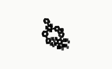 Bc1c(B)c(B)c(-c2ccc3oc4ccc(-c5nc(-c6ccccc6)nc(-c6cccc(-c7ccccc7)c6)n5)cc4c3c2)c(B)c1B